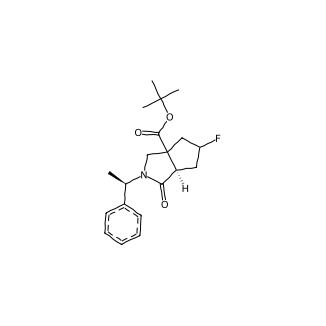 C[C@H](c1ccccc1)N1CC2(C(=O)OC(C)(C)C)CC(F)C[C@H]2C1=O